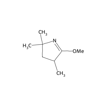 COC1=NC(C)(C)CC1C